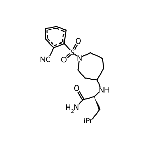 CC(C)C[C@H](NC1CCCN(S(=O)(=O)c2ccccc2C#N)CC1)C(N)=O